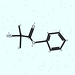 CC(C)(S)C(=O)Oc1ccccc1